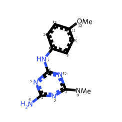 CNc1nc(N)nc(Nc2ccc(OC)cc2)n1